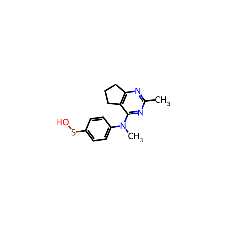 Cc1nc2c(c(N(C)c3ccc(SO)cc3)n1)CCC2